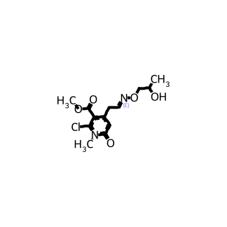 COC(=O)c1c(C/C=N/OCC(C)O)cc(=O)n(C)c1Cl